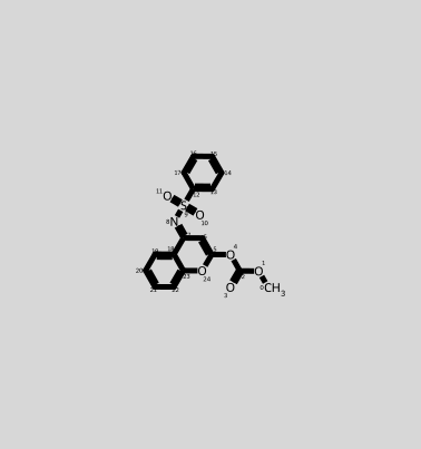 COC(=O)Oc1cc(=NS(=O)(=O)c2ccccc2)c2ccccc2o1